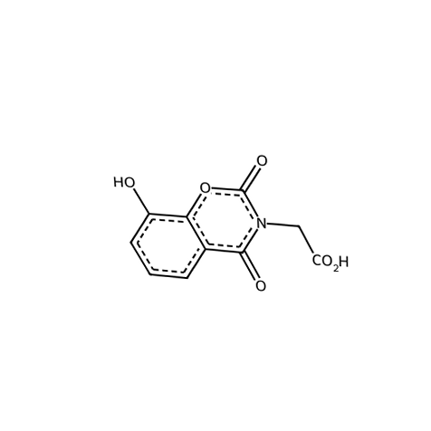 O=C(O)Cn1c(=O)oc2c(O)cccc2c1=O